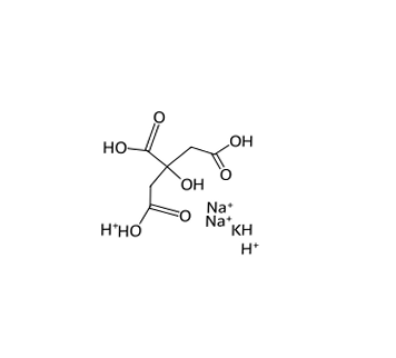 O=C(O)CC(O)(CC(=O)O)C(=O)O.[H+].[H+].[KH].[Na+].[Na+]